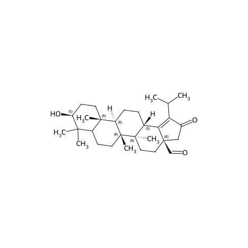 CC(C)C1=C2[C@H]3CC[C@@H]4[C@@]5(C)CC[C@H](O)C(C)(C)C5CC[C@@]4(C)[C@]3(C)CC[C@@]2(C=O)CC1=O